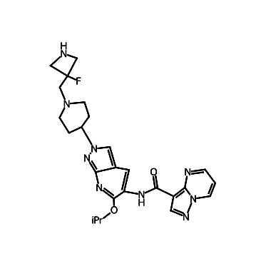 CC(C)Oc1nc2nn(C3CCN(CC4(F)CNC4)CC3)cc2cc1NC(=O)c1cnn2cccnc12